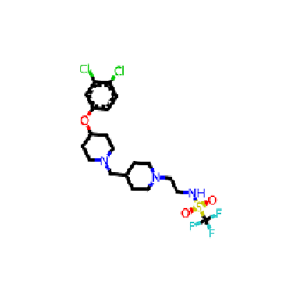 O=S(=O)(NCCN1CCC(CN2CCC(Oc3ccc(Cl)c(Cl)c3)CC2)CC1)C(F)(F)F